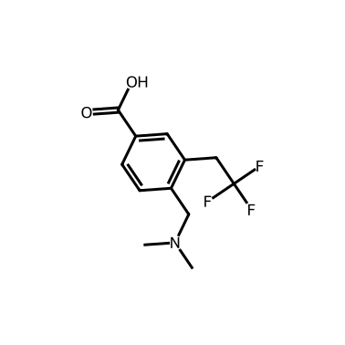 CN(C)Cc1ccc(C(=O)O)cc1CC(F)(F)F